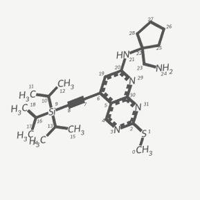 CSc1ncc2c(C#C[Si](C(C)C)(C(C)C)C(C)C)cc(NC3(CN)CCCC3)nc2n1